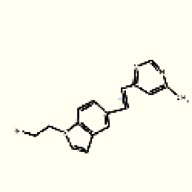 Cc1cc(/C=C/c2ccc3c(ccn3CCC(C)C)c2)ncn1